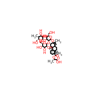 C=C1C[C@@]23CC[C@H]4[C@@](C)(CCC[C@@]4(C)C(=O)OC(C)C(=O)O)[C@@H]2CC[C@]1(O[C@@H]1O[C@H](CO)[C@@H](O)[C@H](O[C@@H]2O[C@H](CO)[C@@H](C)[C@H](O)[C@H]2O)[C@H]1O[C@@H]1O[C@H](CO)[C@@H](O)[C@H](O)[C@H]1O)C3